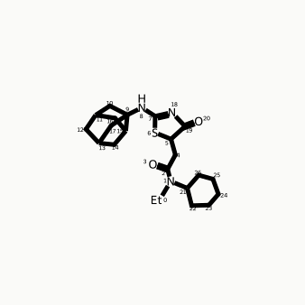 CCN(C(=O)CC1SC(NC23CC4CC(CC2C4)C3)=NC1=O)C1CCCCC1